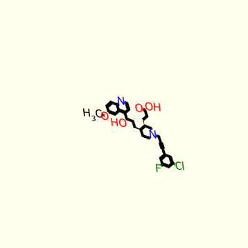 COc1ccc2nccc([C@H](O)CC[C@@H]3CCN(CC#Cc4cc(F)cc(Cl)c4)C[C@H]3CCC(=O)O)c2c1